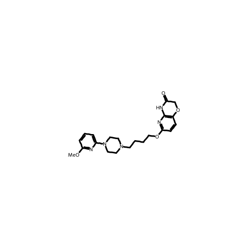 COc1cccc(N2CCN(CCCCOc3ccc4c(n3)NC(=O)CO4)CC2)n1